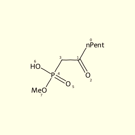 CCCCCC(=O)CP(=O)(O)OC